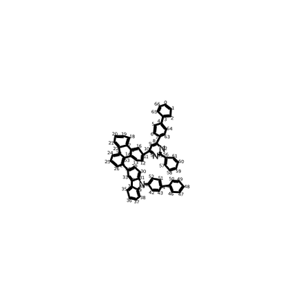 c1ccc(-c2ccc(-c3cc(-c4ccc5c(c4)c4ccccc4c4cccc(-c6ccc7c(c6)c6ccccc6n7-c6ccc(-c7ccccc7)cc6)c45)nc(-c4ccccc4)n3)cc2)cc1